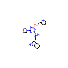 C(=N\Nc1nc(OCCc2ccccn2)nc(N2CCOCC2)n1)/c1c[nH]c2ccccc12